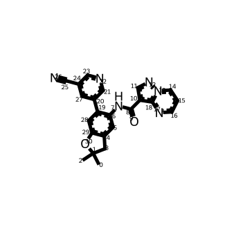 CC1(C)Cc2cc(NC(=O)c3cnn4cccnc34)c(-c3cncc(C#N)c3)cc2O1